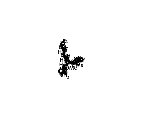 C=C1/C=C\C=C/Nc2cc(OCc3cc(COc4cc5c(cc4OC)C(=O)N4c6ccccc6CC4C=N5)cc(NC(=O)CNC(=O)CNC(=O)CNC(=O)C4CCC(C(C)=O)CC4)c3)c(OC)cc2C(=O)N1